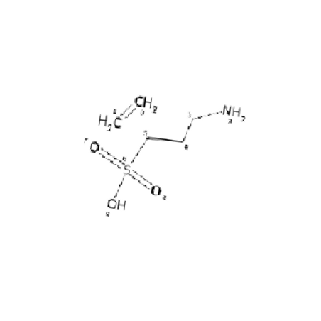 C=C.NCCCS(=O)(=O)O